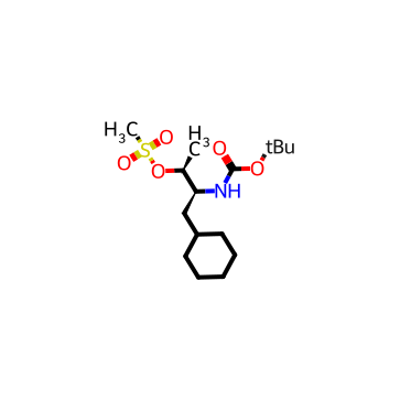 C[C@H](OS(C)(=O)=O)[C@H](CC1CCCCC1)NC(=O)OC(C)(C)C